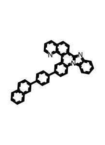 c1ccc2cc(-c3ccc(-c4ccc5c(c4)c4c(ccc6cccnc64)c4nc6ccccc6n54)cc3)ccc2c1